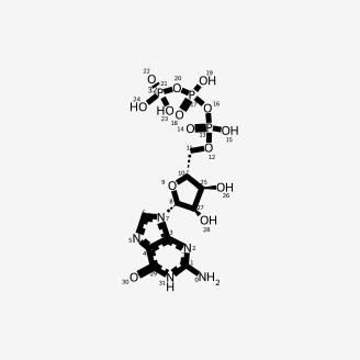 Nc1nc2c(ncn2[C@@H]2O[C@H](COP(=O)(O)OP(=O)(O)O[32P](=O)(O)O)[C@@H](O)[C@H]2O)c(=O)[nH]1